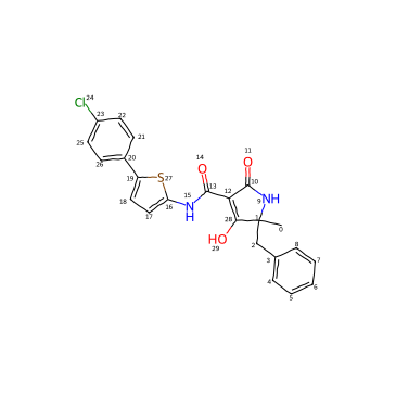 CC1(Cc2ccccc2)NC(=O)C(C(=O)Nc2ccc(-c3ccc(Cl)cc3)s2)=C1O